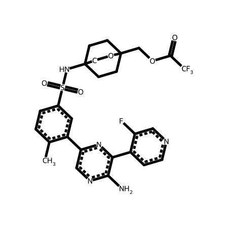 Cc1ccc(S(=O)(=O)NC23CCC(COC(=O)C(F)(F)F)(CC2)OC3)cc1-c1cnc(N)c(-c2ccncc2F)n1